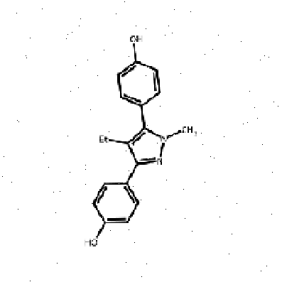 CCc1c(-c2ccc(O)cc2)nn(C)c1-c1ccc(O)cc1